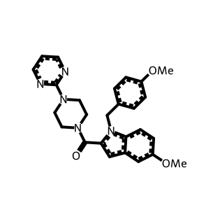 COc1ccc(Cn2c(C(=O)N3CCN(c4ncccn4)CC3)cc3cc(OC)ccc32)cc1